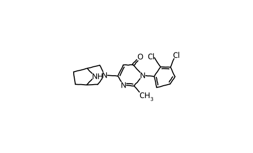 Cc1nc(N2CC3CCC(C2)N3)cc(=O)n1-c1cccc(Cl)c1Cl